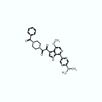 COc1cnc(-c2cnc(N(C)C)cn2)c2[nH]cc(C(=O)C(=O)N3CCN(C(=O)c4ccccc4)CC3)c12